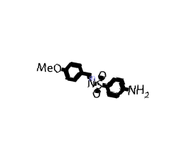 COc1ccc(/C=N/S(=O)(=O)c2ccc(N)cc2)cc1